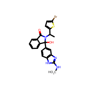 CC(c1ccc(Br)s1)N1C(=O)c2ccccc2C1(O)c1ccc2[nH]c(NC(=O)O)nc2c1